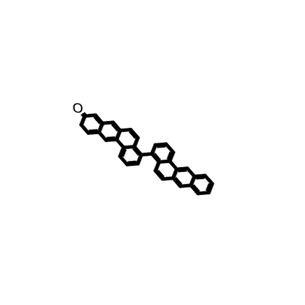 O=C1C=c2cc3ccc4c(-c5cccc6c5ccc5cc7ccccc7cc56)cccc4c3cc2=CC1